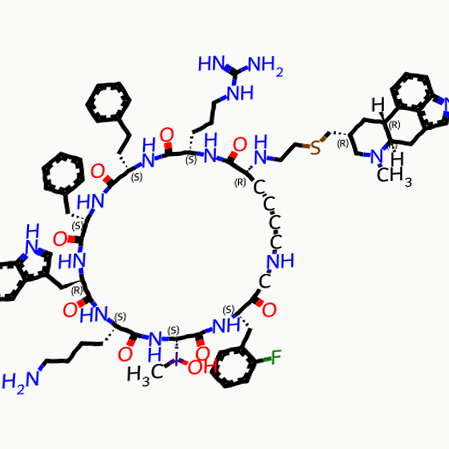 CN1C[C@H](CSCCN[C@@H]2CCCCNCC(=O)[C@H](Cc3ccccc3F)NC(=O)[C@H](I(C)O)NC(=O)[C@H](CCCCN)NC(=O)[C@@H](Cc3c[nH]c4ccccc34)NC(=O)[C@H](Cc3ccccc3)NC(=O)[C@H](CCc3ccccc3)NC(=O)[C@H](CCCNC(=N)N)NC2=O)C[C@@H]2c3cccc4[nH]cc(c34)C[C@H]21